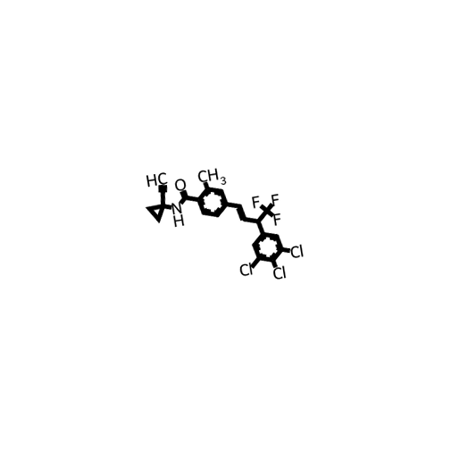 C#CC1(NC(=O)c2ccc(/C=C/C(c3cc(Cl)c(Cl)c(Cl)c3)C(F)(F)F)cc2C)CC1